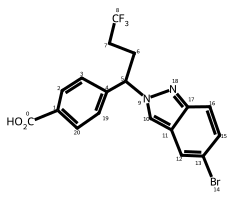 O=C(O)c1ccc(C(CCC(F)(F)F)n2cc3cc(Br)ccc3n2)cc1